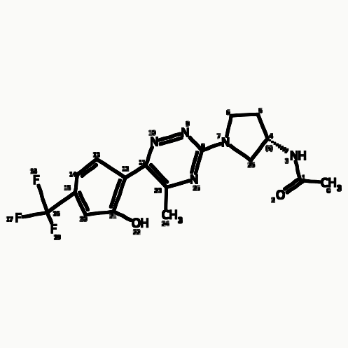 CC(=O)N[C@H]1CCN(c2nnc(-c3ccc(C(F)(F)F)cc3O)c(C)n2)C1